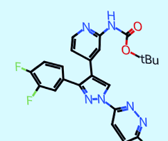 CC(C)(C)OC(=O)Nc1cc(-c2cn(-c3ccc(Cl)nn3)nc2-c2ccc(F)c(F)c2)ccn1